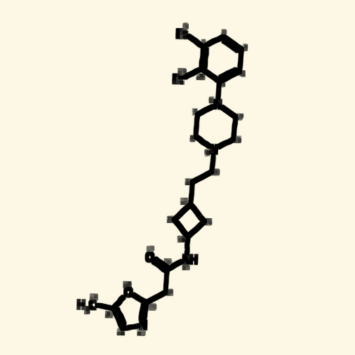 CCc1cccc(N2CCN(CCC3CC(NC(=O)Cc4ncc(C)o4)C3)CC2)c1CC